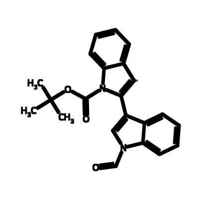 CC(C)(C)OC(=O)n1c(-c2cn(C=O)c3ccccc23)[c]c2ccccc21